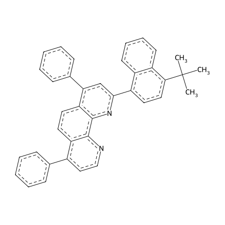 CC(C)(C)c1ccc(-c2cc(-c3ccccc3)c3ccc4c(-c5ccccc5)ccnc4c3n2)c2ccccc12